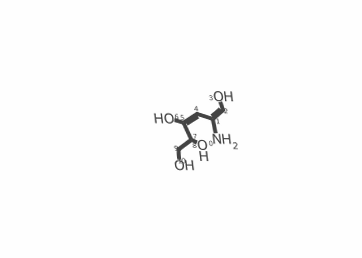 NC(=C/O)/C=C(/O)C(O)CO